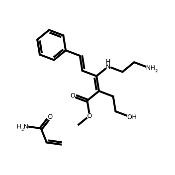 C=CC(N)=O.COC(=O)C(CCO)=C(C=Cc1ccccc1)NCCN